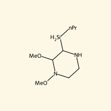 CCC[SiH2]C1NCCN(OC)C1OC